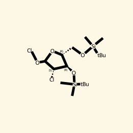 CC(C)(C)[Si](C)(C)OC[C@H]1OC(OCl)[C@@H](Cl)[C@@H]1O[Si](C)(C)C(C)(C)C